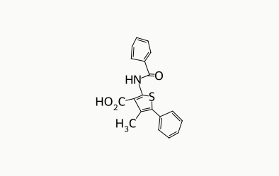 Cc1c(-c2ccccc2)sc(NC(=O)c2ccccc2)c1C(=O)O